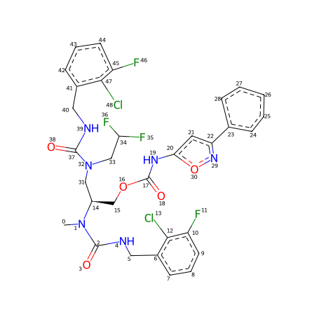 CN(C(=O)NCc1cccc(F)c1Cl)[C@H](COC(=O)Nc1cc(-c2ccccc2)no1)CN(CC(F)F)C(=O)NCc1cccc(F)c1Cl